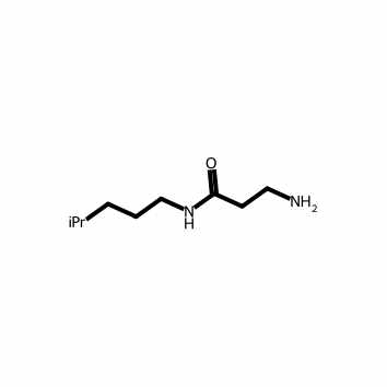 CC(C)CCCNC(=O)CCN